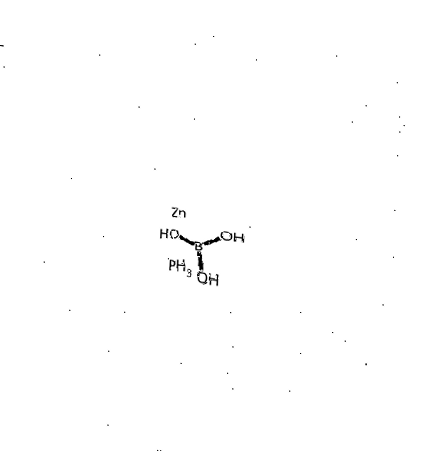 OB(O)O.P.[Zn]